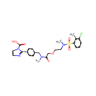 Cc1c(Cl)cccc1S(=O)(=O)N(C)CCOCC(=O)N(C)Cc1ccc(C2=NCCN2C(=O)O)cc1